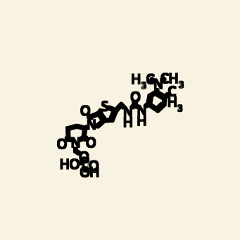 Cc1ccc(NC(=O)NCc2cc3c(s2)C(=O)N(C2CCC(=O)N(COP(=O)(O)O)C2=O)C3)cc1N(C)C